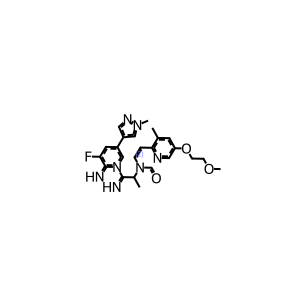 COCCOc1cnc(/C=C\N(C=O)C(C)C(=N)n2cc(-c3cnn(C)c3)cc(F)c2=N)c(C)c1